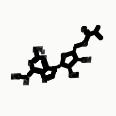 CC(C)C(=O)OC[C@H]1O[C@@H](n2cnc3c(NO)nc(N)nc32)[C@H](O)[C@@H]1O